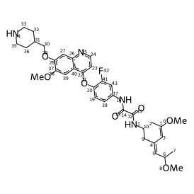 CO/C(C)=C/C(=C\C(C)OC)CCNC(=O)C(=O)Nc1ccc(Oc2ccnc3cc(OCC4CCNCC4)c(OC)cc23)c(F)c1